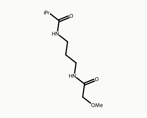 COCC(=O)NCCCNC(=O)C(C)C